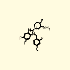 NC1CN(c2nc3cc(F)c(F)cc3n2Cc2ccc(Cl)cc2F)CCC1F